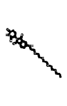 CCCOCCOCCOCCOCCNc1ccc2c(c1)C(=O)N(C1CCC(=O)NC1=O)C2=O